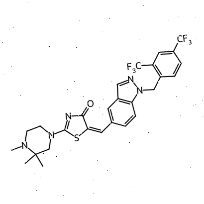 CN1CCN(C2=NC(=O)C(=Cc3ccc4c(cnn4Cc4ccc(C(F)(F)F)cc4C(F)(F)F)c3)S2)CC1(C)C